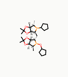 C[C@H]1[C@H]2OC(C)(C)O[C@@H]2[C@H](C[C@H]2[C@H]3OC(C)(C)O[C@@H]3[C@H](C)P2C2CCCC2)P1OC1CCCC1